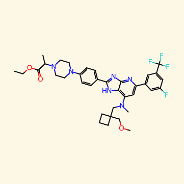 CCOC(=O)C(C)N1CCN(c2ccc(-c3nc4nc(-c5cc(F)cc(C(F)(F)F)c5)cc(N(C)CC5(COC)CCC5)c4[nH]3)cc2)CC1